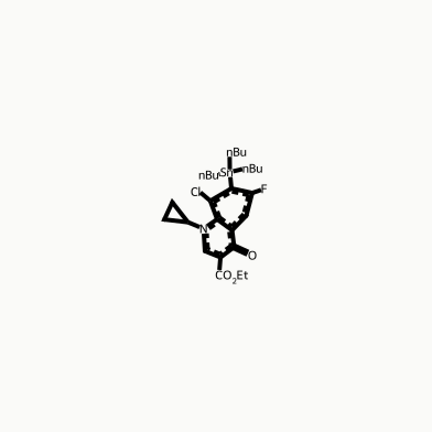 CCC[CH2][Sn]([CH2]CCC)([CH2]CCC)[c]1c(F)cc2c(=O)c(C(=O)OCC)cn(C3CC3)c2c1Cl